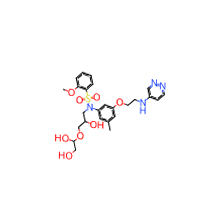 COc1ccccc1S(=O)(=O)N(CC(O)COC(O)CO)c1cc(C)cc(OCCNc2ccnnc2)c1